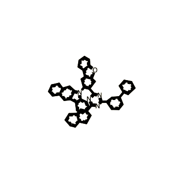 c1ccc(-c2cccc(-c3nc(-c4ccc5ccccc5c4)nc(-c4cc5oc6ccccc6c5cc4-n4c5ccccc5c5cc6ccccc6cc54)n3)c2)cc1